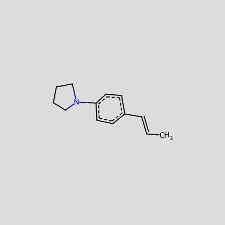 CC=Cc1ccc(N2CCCC2)cc1